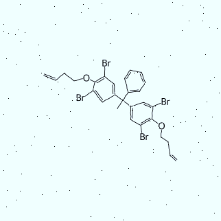 C=CCCOc1c(Br)cc(C(C)(c2ccccc2)c2cc(Br)c(OCCC=C)c(Br)c2)cc1Br